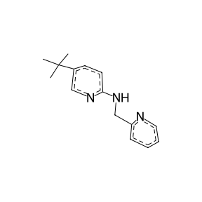 CC(C)(C)c1ccc(NCc2ccccn2)nc1